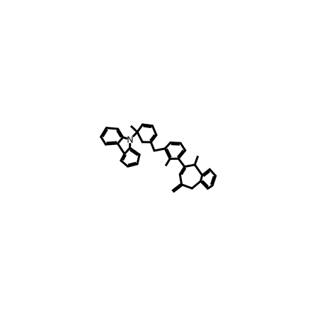 C=C1C=C(c2cccc(CC3=CC=CC(C)(n4c5ccccc5c5ccccc54)C3)c2C)C(C)c2ccccc2C1